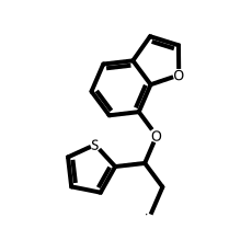 [CH2]CC(Oc1cccc2ccoc12)c1cccs1